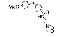 COc1ccc(Sc2ccc(C(=O)NCCN3CCOCC3)cc2)cc1